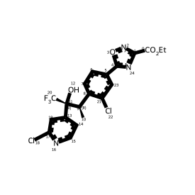 CCOC(=O)c1noc(-c2ccc([C@@H](C)[C@@](O)(c3ccnc(Cl)c3)C(F)(F)F)c(Cl)c2)n1